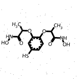 CC(Oc1ccc(S)cc1OC(C)C(=O)NO)C(=O)NO